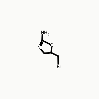 NC1=NCC(CBr)O1